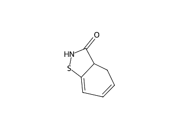 O=C1NSC2=CC=CCC12